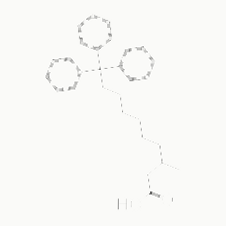 CC(CCCCCCC(c1ccccc1)(c1ccccc1)c1ccccc1)CC(=O)O